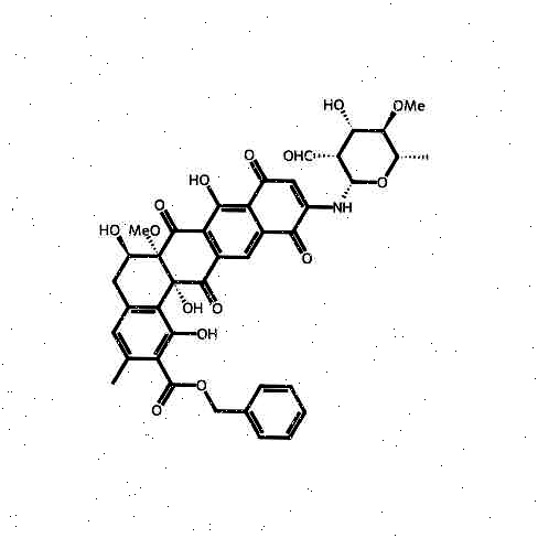 CO[C@@H]1[C@@H](O)[C@@H](C=O)[C@@H](NC2=CC(=O)c3c(cc4c(c3O)C(=O)[C@]3(OC)[C@H](O)Cc5cc(C)c(C(=O)OCc6ccccc6)c(O)c5[C@]3(O)C4=O)C2=O)O[C@H]1C